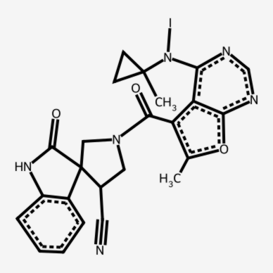 Cc1oc2ncnc(N(I)C3(C)CC3)c2c1C(=O)N1CC(C#N)C2(C1)C(=O)Nc1ccccc12